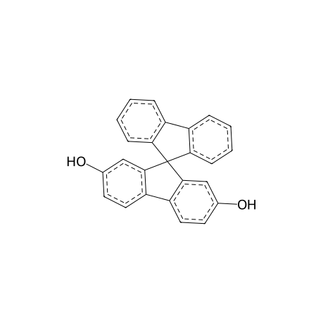 Oc1ccc2c(c1)C1(c3ccccc3-c3ccccc31)c1cc(O)ccc1-2